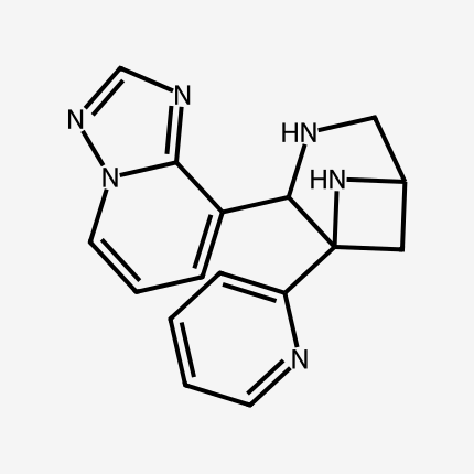 c1ccc(C23CC(CNC2c2cccn4ncnc24)N3)nc1